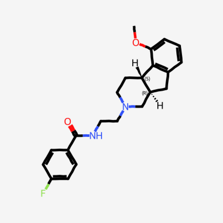 COc1cccc2c1[C@H]1CCN(CCNC(=O)c3ccc(F)cc3)C[C@@H]1C2